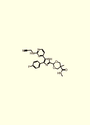 CNC(=O)C1(C)COC(c2nc(-c3ccc(F)cc3)c(-c3ccnc(NCC#N)n3)[nH]2)OC1